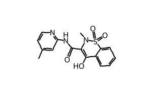 Cc1ccnc(NC(=O)C2=C(O)c3ccccc3S(=O)(=O)N2C)c1